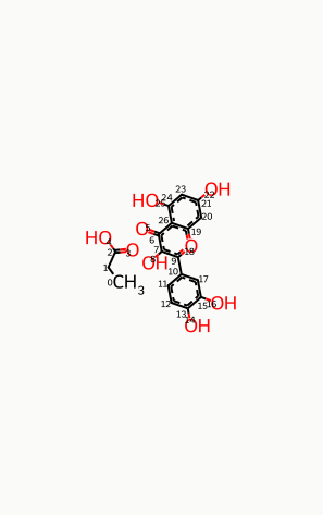 CCC(=O)O.O=c1c(O)c(-c2ccc(O)c(O)c2)oc2cc(O)cc(O)c12